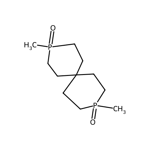 CP1(=O)CCC2(CC1)CCP(C)(=O)CC2